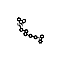 CC12C=CC=CC1c1ccccc1-c1ncc(-c3cccc(-c4cccc5c(-c6ccc(-c7ccc(-n8c9ccccc9c9ccccc98)cc7)cc6)cccc45)c3)nc12